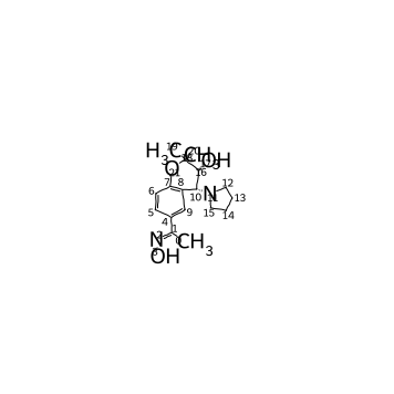 C/C(=N\O)c1ccc2c(c1)[C@@H](N1CCCC1)[C@H](O)C(C)(C)O2